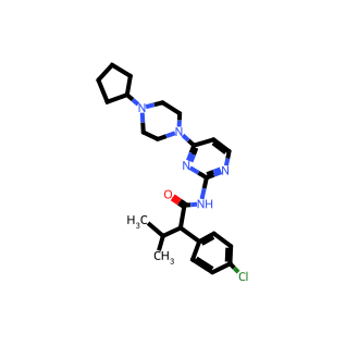 CC(C)C(C(=O)Nc1nccc(N2CCN(C3CCCC3)CC2)n1)c1ccc(Cl)cc1